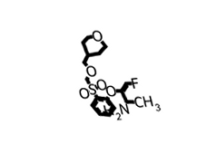 CC(N)/C(=C\F)Oc1ccccc1S(=O)(=O)COCC1CCOCC1